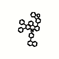 c1ccc(-c2ccc(N(c3ccc(-c4cccc5ccccc45)cc3)c3cccc(-c4ccc5oc6ccccc6c5c4)c3-c3ccccc3)cc2-c2ccccc2)cc1